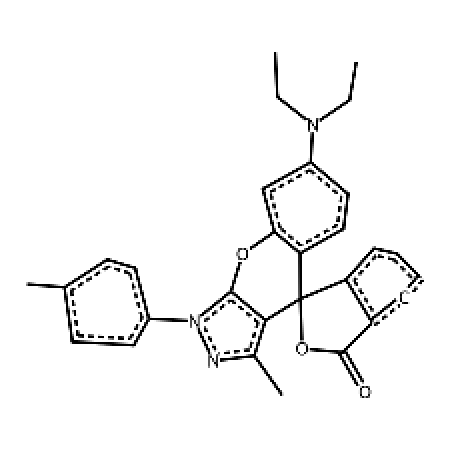 CCN(CC)c1ccc2c(c1)Oc1c(c(C)nn1-c1ccc(C)cc1)C21OC(=O)c2ccccc21